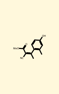 COC(=O)C(C#N)=C(C)c1ccc(O)cc1C